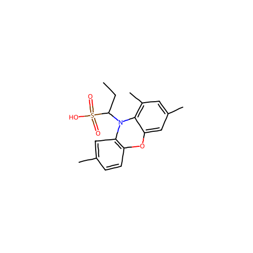 CCC(N1c2cc(C)ccc2Oc2cc(C)cc(C)c21)S(=O)(=O)O